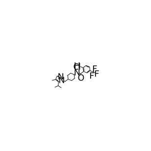 Cc1cnn(CC2CCC(NC(=O)c3cc(C(F)(F)F)ccc3Cl)CC2)c1C(C)C